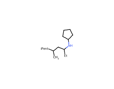 CCCC(C)C(C)CC(CC)NC1CCCC1